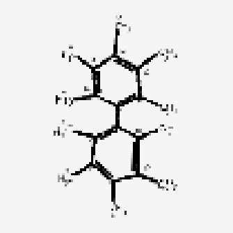 Cc1c(C)c(C)c(-c2c(C)c(C)c(C)c(C)c2O)c(O)c1C